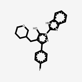 Oc1c(CC2CCCOC2)c(-c2ccc(F)cc2)nn1-c1nc2ccccc2[nH]1